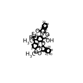 COc1ccc(C(C)(c2ccc(CO)c(N3C(=O)C4C5C=CC(C5)C4C3=O)c2)C(F)(F)F)cc1N1C(=O)C2C3C=CC(C3)C2C1=O